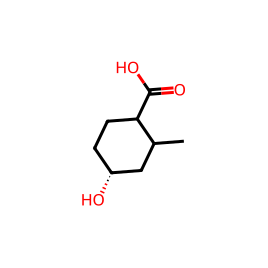 CC1C[C@H](O)CCC1C(=O)O